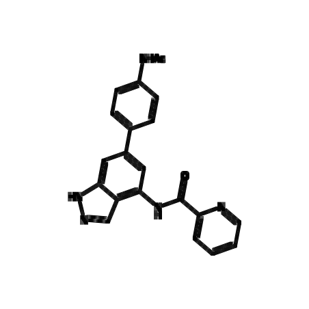 CC(=O)Nc1ccc(-c2cc(NC(=O)c3ccccn3)c3cn[nH]c3c2)cc1